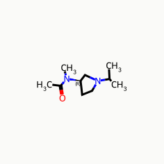 CC(=O)N(C)[C@@H]1CCN(C(C)C)C1